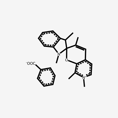 CC1=Cc2cc[n+](C)c(C)c2OC12C(C)c1ccccc1N2C.O=C([O-])c1ccccc1